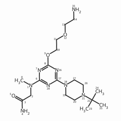 CN(CC(N)=O)c1nc(OCCOCCN)nc(N2CCN(C(C)(C)C)CC2)n1